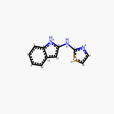 c1ccc2[nH]c(Nc3nccs3)cc2c1